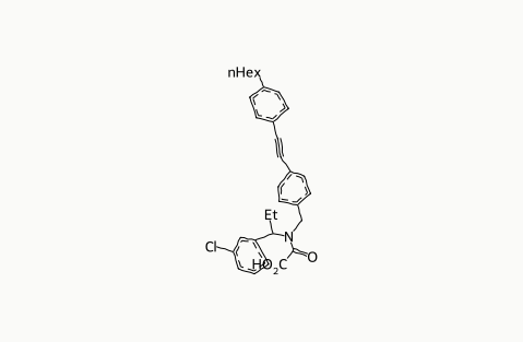 CCCCCCc1ccc(C#Cc2ccc(CN(C(=O)C(=O)O)C(CC)c3cccc(Cl)c3)cc2)cc1